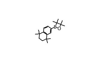 CC1(C)CCC(C)(C)c2cc(B3OC(C)(C)C3(C)C)ccc21